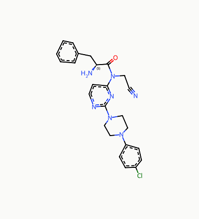 N#CCN(C(=O)[C@@H](N)Cc1ccccc1)c1ccnc(N2CCN(c3ccc(Cl)cc3)CC2)n1